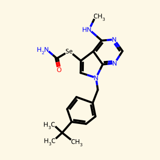 CNc1ncnc2c1c([Se]C(N)=O)cn2Cc1ccc(C(C)(C)C)cc1